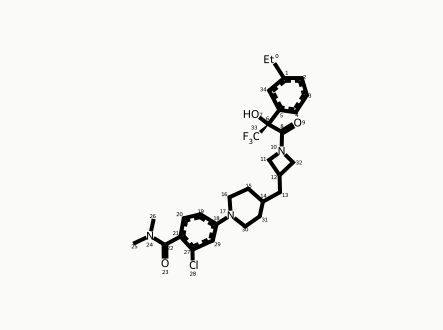 CCc1cccc([C@@](O)(C(=O)N2CC(CC3CCN(c4ccc(C(=O)N(C)C)c(Cl)c4)CC3)C2)C(F)(F)F)c1